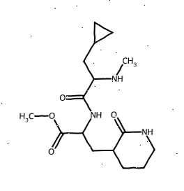 CNC(CC1CC1)C(=O)NC(CC1CCCNC1=O)C(=O)OC